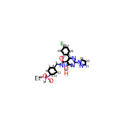 CCO[P@@](C)(=O)c1ccc(CNC(=O)c2c(O)nc(-n3cccn3)nc2-c2ccc(F)cc2)cc1